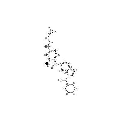 O=C(c1cnn2ccc(-c3c[nH]c4nc(NCCC5CC5)ncc34)cc12)N1CCCCC1